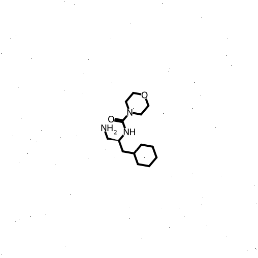 NC[C@H](CC1CCCCC1)NC(=O)N1CCOCC1